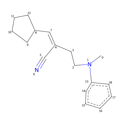 CN(CCC(C#N)=CC1CCCC1)c1ccccc1